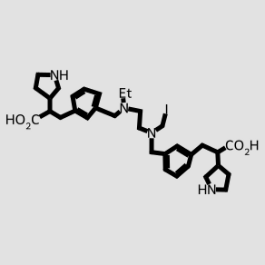 CCN(CCN(CI)Cc1cccc(CC(C(=O)O)C2CCNC2)c1)Cc1cccc(CC(C(=O)O)C2CCNC2)c1